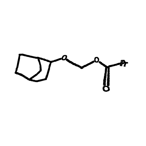 CC(C)C(=O)OCOC1CC2CCC1C2